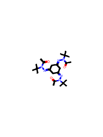 CC(=O)N(N=C1CC(=NN(C(C)=O)C(C)(C)C)CC(=NN(C(C)=O)C(C)(C)C)C1)C(C)(C)C